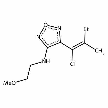 CC/C(C)=C(/Cl)c1nonc1NCCOC